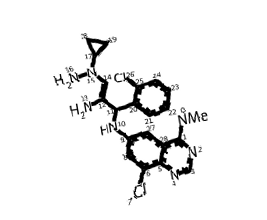 CNc1ncnc2c(Cl)cc(NC(/C(N)=C/N(N)C3CC3)c3ccccc3Cl)cc12